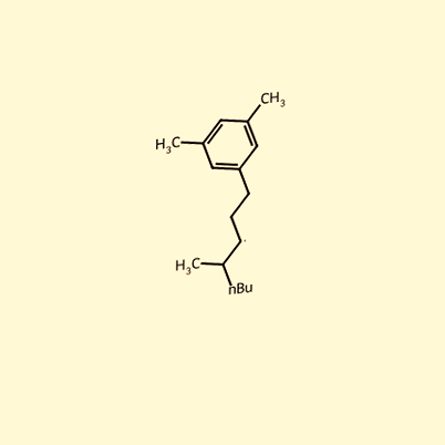 CCCCC(C)[CH]CCc1cc(C)cc(C)c1